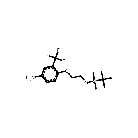 CC(C)(C)[Si](C)(C)OCCOc1ccc(N)cc1C(F)(F)F